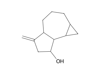 C=C1CC(O)C2C1CCCC1CC12